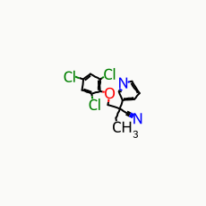 CCC(C#N)(COc1c(Cl)cc(Cl)cc1Cl)c1cccnc1